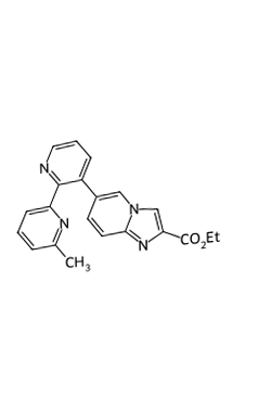 CCOC(=O)c1cn2cc(-c3cccnc3-c3cccc(C)n3)ccc2n1